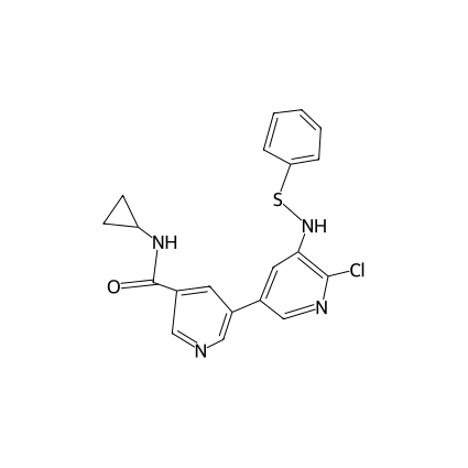 O=C(NC1CC1)c1cncc(-c2cnc(Cl)c(NSc3ccccc3)c2)c1